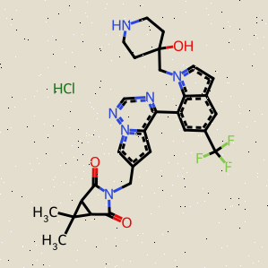 CC1(C)C2C(=O)N(Cc3cc4c(-c5cc(C(F)(F)F)cc6ccn(CC7(O)CCNCC7)c56)ncnn4c3)C(=O)C21.Cl